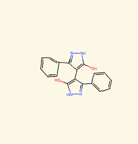 Oc1[nH]nc(-c2ccccc2)c1-c1c(-c2ccccc2)n[nH]c1O